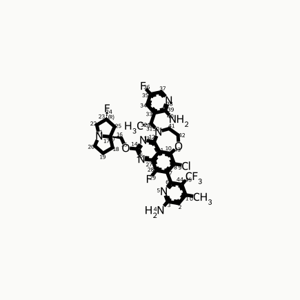 Cc1cc(N)nc(-c2c(Cl)c3c4c(nc(OC[C@@]56CCCN5C[C@H](F)C6)nc4c2F)N([C@H](C)c2cc(F)cnc2N)CCO3)c1C(F)(F)F